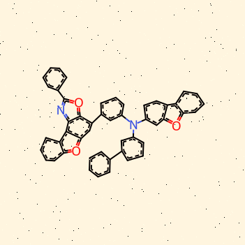 c1ccc(-c2cccc(N(c3cccc(-c4cc5oc6ccccc6c5c5nc(-c6ccccc6)oc45)c3)c3ccc4c(c3)oc3ccccc34)c2)cc1